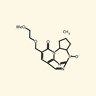 C.COCCOCc1cc2cnc3nc2n(c1=O)C1CCCC1[S+]3[O-]